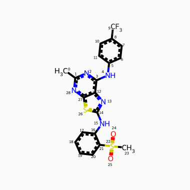 Cc1nc(Nc2ccc(C(F)(F)F)cc2)c2nc(Nc3ccccc3S(C)(=O)=O)sc2n1